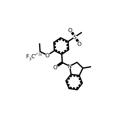 CC1CN(C(=O)c2cc(S(C)(=O)=O)ccc2O[C@@H](C)C(F)(F)F)c2ccccc21